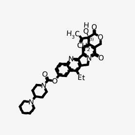 C=C(C)[C@@]1(O)C(=O)OCc2c1cc1n(c2=O)Cc2c-1nc1ccc(OC(=O)N3CCC(N4CCCCC4)CC3)cc1c2CC